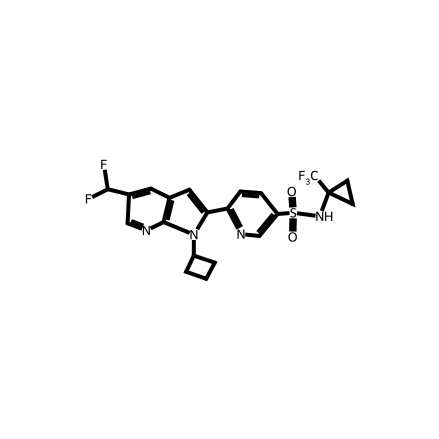 O=S(=O)(NC1(C(F)(F)F)CC1)c1ccc(-c2cc3cc(C(F)F)cnc3n2C2CCC2)nc1